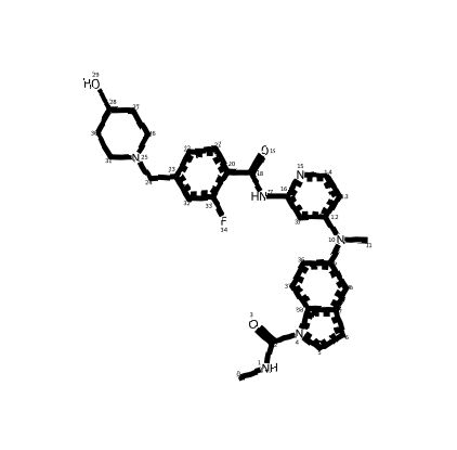 CNC(=O)n1ccc2cc(N(C)c3ccnc(NC(=O)c4ccc(CN5CCC(O)CC5)cc4F)c3)ccc21